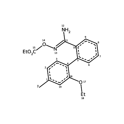 [CH2]c1ccc(-c2ccccc2C(N)=NOC(=O)OCC)c(OCC)c1